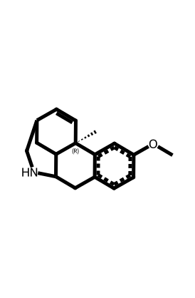 COc1ccc2c(c1)[C@]1(C)C=CC3CNC(C2)C1C3